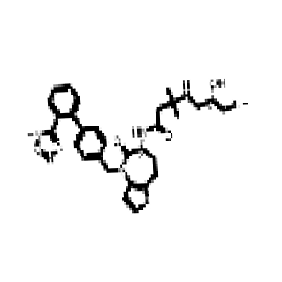 CC(C)(CC(=O)N[C@@H]1CCc2sccc2N(Cc2ccc(-c3ccccc3-c3nnn[nH]3)cc2)C1=O)NC[C@H](O)CO